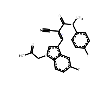 CN(C(=O)/C(C#N)=C/c1cn(CC(=O)O)c2ccc(F)cc12)c1ccc(F)cc1